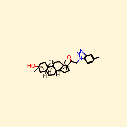 CC[C@]12CC[C@@](C)(O)C[C@H]1CC[C@H]1[C@@H]3CC[C@H](C(=O)Cn4nnc5cc(C)ccc54)[C@@]3(C)CC[C@@H]12